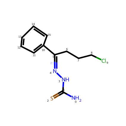 NC(=S)N/N=C(\CCCCl)c1ccccc1